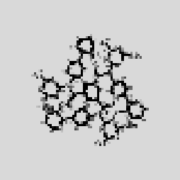 Cc1cccnc1-c1ccc(N(C(=O)c2cc(C(=O)N(c3ccc(-c4ncccc4C)cc3)c3nc(C(C)(C)C)nc(C(C)(C)C)n3)cc(C(=O)N(c3ccc(-c4ncccc4C)nc3)c3nc(C(C)(C)C)nc(C(C)(C)C)n3)c2)c2nc(C(C)(C)C)nc(C(C)(C)C)n2)cc1